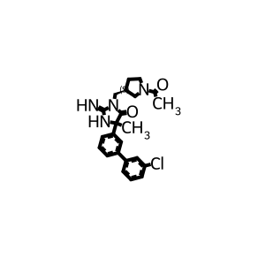 CC(=O)N1CC[C@H](CN2C(=N)NC(C)(c3cccc(-c4cccc(Cl)c4)c3)C2=O)C1